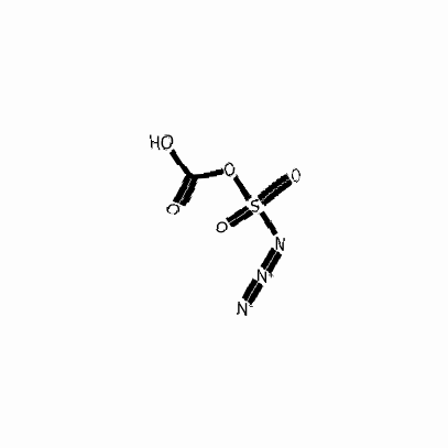 [N-]=[N+]=NS(=O)(=O)OC(=O)O